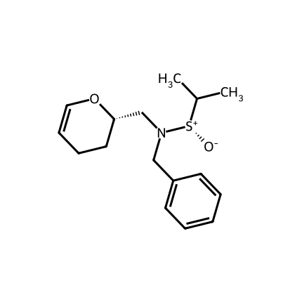 CC(C)[S@+]([O-])N(Cc1ccccc1)C[C@@H]1CCC=CO1